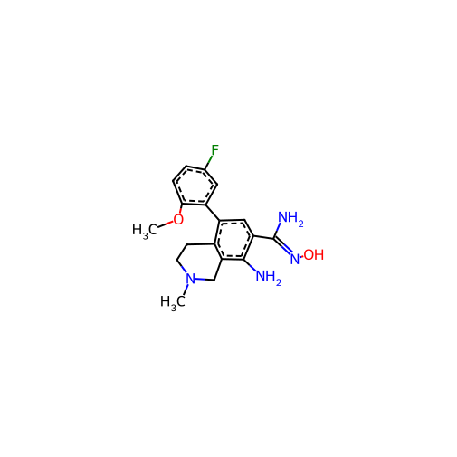 COc1ccc(F)cc1-c1cc(/C(N)=N/O)c(N)c2c1CCN(C)C2